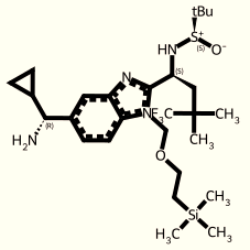 CC(C)(C)[S@@+]([O-])N[C@@H](CC(C)(C)C(F)(F)F)c1nc2cc([C@H](N)C3CC3)ccc2n1COCC[Si](C)(C)C